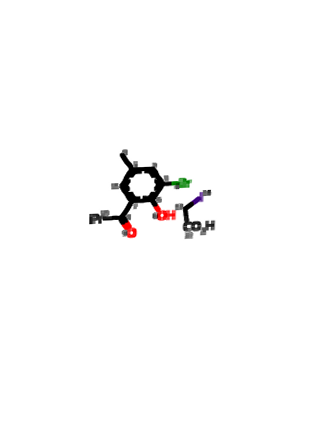 Cc1cc(Br)c(O)c(C(=O)C(C)C)c1.O=C(O)CI